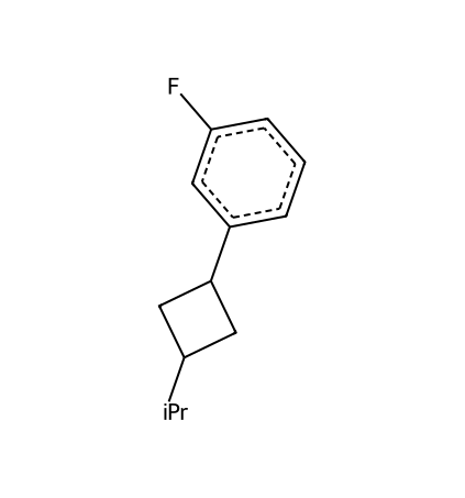 CC(C)C1CC(c2cccc(F)c2)C1